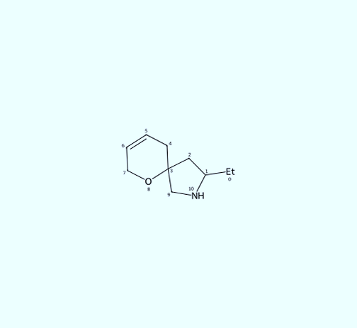 CCC1CC2(CC=CCO2)CN1